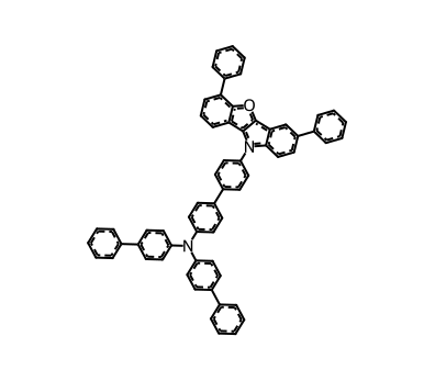 c1ccc(-c2ccc(N(c3ccc(-c4ccccc4)cc3)c3ccc(-c4ccc(-n5c6ccc(-c7ccccc7)cc6c6oc7c(-c8ccccc8)cccc7c65)cc4)cc3)cc2)cc1